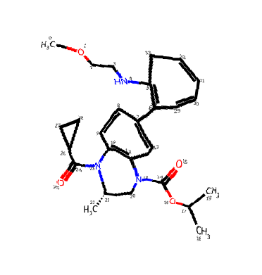 COCCNC1=C(c2ccc3c(c2)N(C(=O)OC(C)C)C[C@H](C)N3C(=O)C2CC2)C=CC=CC1